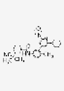 Cc1ccc(NC(=O)c2cccc(C(C)(C)C#N)c2)cc1-c1cc(C2CCCCC2)nc(N2CCOC2)c1